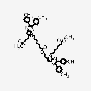 CCOC(=O)CCCCCCn1c(CCOC(=O)CCCCCCn2c(CCOC(C)=O)cc3nc(-c4ccc(C)cc4)c(-c4ccc(C)cc4)nc32)cc2nc(-c3ccc(C)cc3)c(-c3ccc(C)cc3)nc21